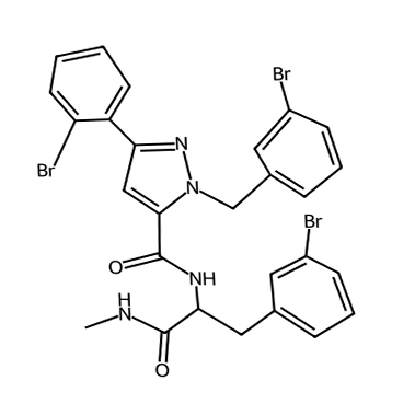 CNC(=O)C(Cc1cccc(Br)c1)NC(=O)c1cc(-c2ccccc2Br)nn1Cc1cccc(Br)c1